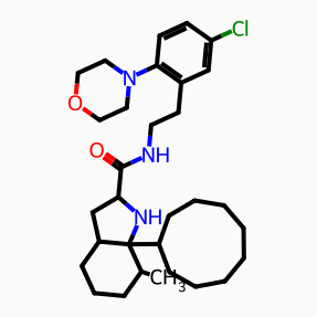 CC1CCCC2CC(C(=O)NCCc3cc(Cl)ccc3N3CCOCC3)NC12C1CCCCCCCC1